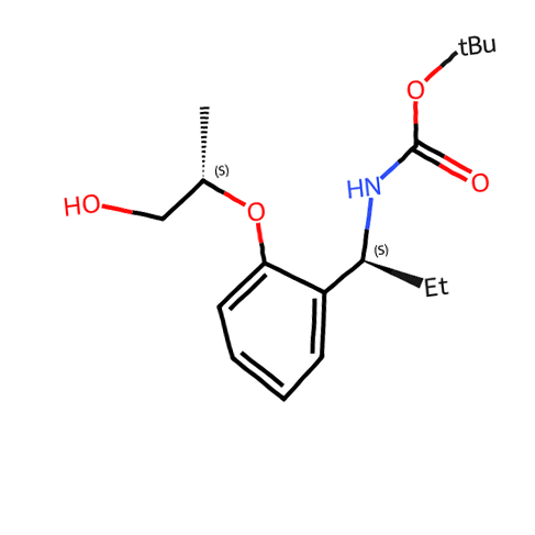 CC[C@H](NC(=O)OC(C)(C)C)c1ccccc1O[C@@H](C)CO